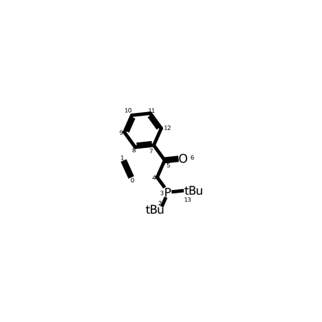 C=C.CC(C)(C)P(CC(=O)c1ccccc1)C(C)(C)C